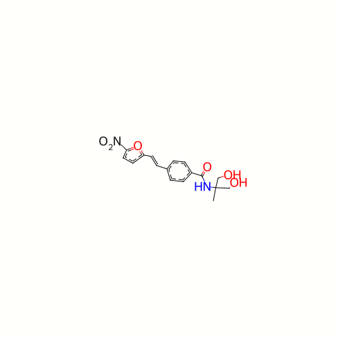 CC(CO)(CO)NC(=O)c1ccc(C=Cc2ccc([N+](=O)[O-])o2)cc1